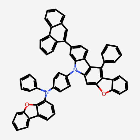 c1ccc(-c2c3c(cc4c2c2ccc(-c5cc6ccccc6c6ccccc56)cc2n4-c2ccc(N(c4ccccc4)c4cccc5c4oc4ccccc45)cc2)oc2ccccc23)cc1